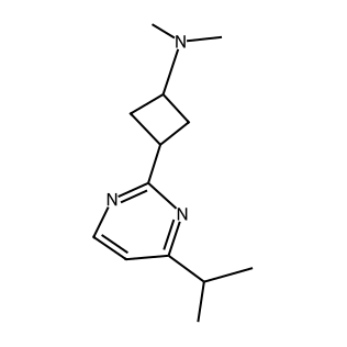 CC(C)c1ccnc(C2CC(N(C)C)C2)n1